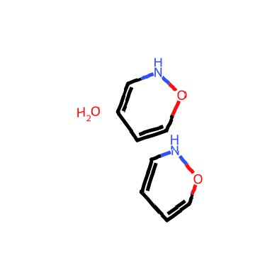 C1=CNOC=C1.C1=CNOC=C1.O